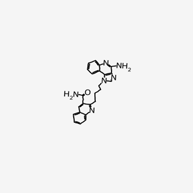 NC(=O)c1cc2ccccc2nc1CCCCn1cnc2c(N)nc3ccccc3c21